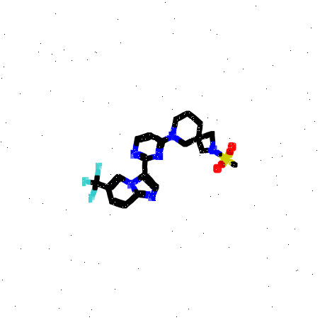 CS(=O)(=O)N1CC2(CCCN(c3ccnc(-c4cnc5ccc(C(F)(F)F)cn45)n3)C2)C1